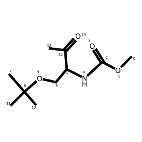 COC(=O)NC(COC(C)(C)C)C(C)=O